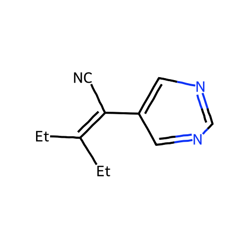 CCC(CC)=C(C#N)c1cncnc1